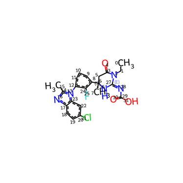 CCN1C(=O)C[C@@](C)(c2cccc(-n3c(C)nc4ccc(Cl)cc43)c2F)N/C1=N\C(=O)O